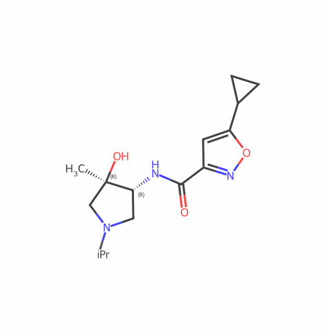 CC(C)N1C[C@@H](NC(=O)c2cc(C3CC3)on2)[C@](C)(O)C1